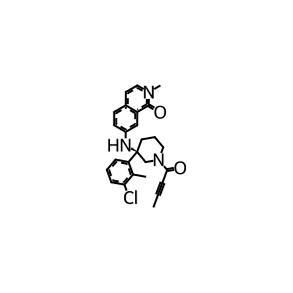 CC#CC(=O)N1CCC[C@@](Nc2ccc3ccn(C)c(=O)c3c2)(c2cccc(Cl)c2C)C1